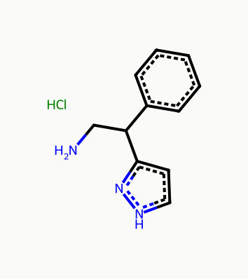 Cl.NCC(c1ccccc1)c1cc[nH]n1